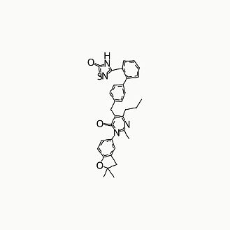 CCCc1nc(C)n(-c2ccc3c(c2)CC(C)(C)O3)c(=O)c1Cc1ccc(-c2ccccc2-c2nsc(=O)[nH]2)cc1